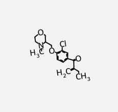 C=C(CC)C(=O)c1ccc(OCC2COCCN2C)c(Cl)c1